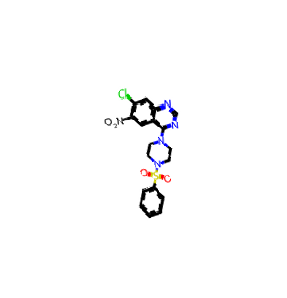 O=[N+]([O-])c1cc2c(N3CCN(S(=O)(=O)c4ccccc4)CC3)ncnc2cc1Cl